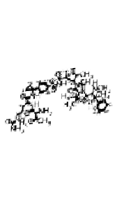 CNC(C(=O)NC(C(=O)N(C)C(C=C(C)C(=O)NS(=O)(=O)c1ccc(C2(NC(=O)C(CCCNC(N)=O)NC(=O)C(N)C(C)C)CC2)cc1)C(C)C)C(C)(C)C)C(C)(C)c1ccccc1